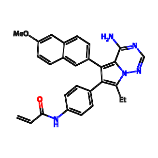 C=CC(=O)Nc1ccc(-c2c(-c3ccc4cc(OC)ccc4c3)c3c(N)ncnn3c2CC)cc1